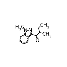 CCC(C)C(=O)c1nn(C)c2ccccc12